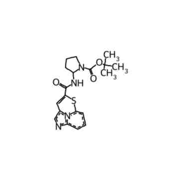 CC(C)(C)OC(=O)N1CCCC1NC(=O)C1=Cc2cnc3cccc(n23)S1